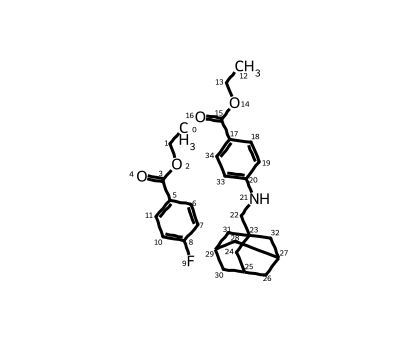 CCOC(=O)c1ccc(F)cc1.CCOC(=O)c1ccc(NCC23CC4CC(CC(C4)C2)C3)cc1